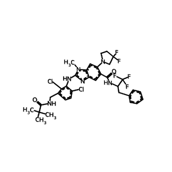 Cn1c(Nc2c(Cl)ccc(CNC(=O)C(C)(C)C)c2Cl)nc2cc(C(=O)NC(Cc3ccccc3)C(F)(F)F)c(N3CCC(F)(F)C3)cc21